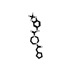 O=C(CC1CCCC1)N1CCCN(C(=O)Nc2ccc3c(c2)OC(F)(F)O3)CC1